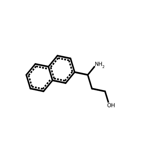 NC(CCO)c1ccc2ccccc2c1